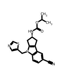 CC(C)OC(=O)N[C@H]1Cc2c(n(Cc3cncs3)c3ccc(C#N)cc23)C1